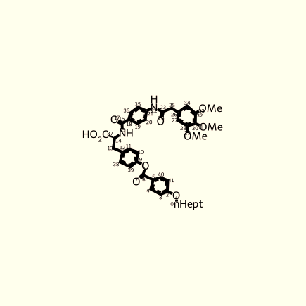 CCCCCCCOc1ccc(C(=O)Oc2ccc(C[C@H](NC(=O)c3ccc(NC(=O)Cc4cc(OC)c(OC)c(OC)c4)cc3)C(=O)O)cc2)cc1